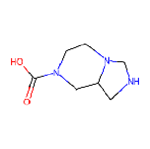 O=C(O)N1CCN2CNCC2C1